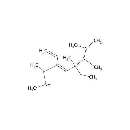 C=C/C(=C\C(C)(CC)N(C)N(C)C)C(C)NC